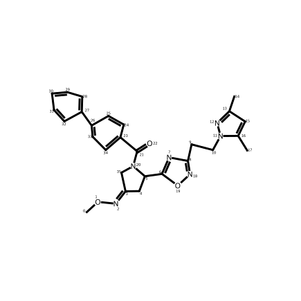 CON=C1CC(c2nc(CCn3nc(C)cc3C)no2)N(C(=O)c2ccc(-c3ccccc3)cc2)C1